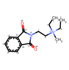 CC[N+](C)(CC)CCN1C(=O)c2ccccc2C1=O